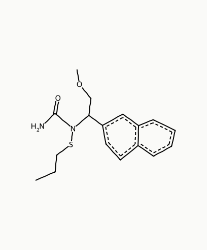 CCCSN(C(N)=O)C(COC)c1ccc2ccccc2c1